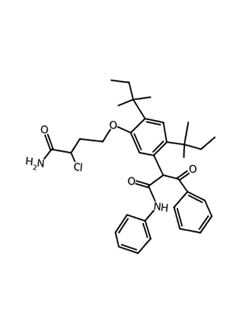 CCC(C)(C)c1cc(C(C)(C)CC)c(C(C(=O)Nc2ccccc2)C(=O)c2ccccc2)cc1OCCC(Cl)C(N)=O